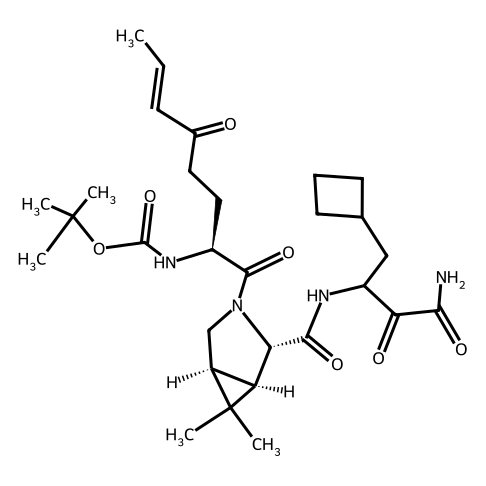 C/C=C/C(=O)CC[C@H](NC(=O)OC(C)(C)C)C(=O)N1C[C@H]2[C@@H]([C@H]1C(=O)NC(CC1CCC1)C(=O)C(N)=O)C2(C)C